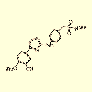 CNS(=O)(=O)Cc1ccc(Nc2nccc(-c3ccc(OCC(C)C)c(C#N)c3)n2)cc1